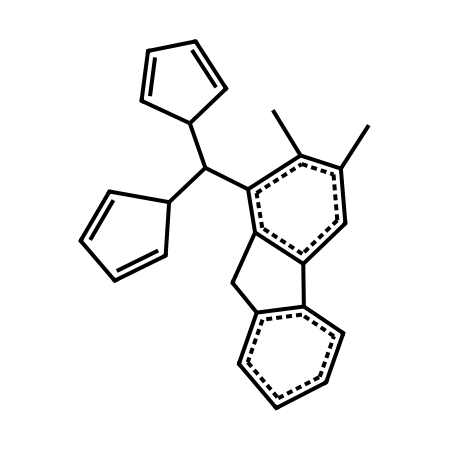 Cc1cc2c(c(C(C3C=CC=C3)C3C=CC=C3)c1C)Cc1ccccc1-2